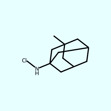 CC12CC3CC(C1)CC(NCl)(C3)C2